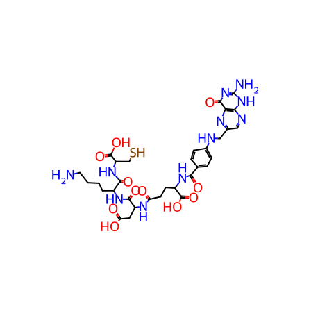 NCCCCC(NC(=O)C(CC(=O)O)NC(=O)CCC(NC(=O)c1ccc(NCc2cnc3[nH]c(N)nc(=O)c3n2)cc1)C(=O)O)C(=O)NC(CS)C(=O)O